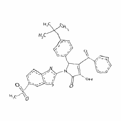 CC(C)(C)c1ccc(C2C(C(=O)c3ccccc3)=C(O)C(=O)N2c2nc3ccc(S(C)(=O)=O)cc3s2)cc1